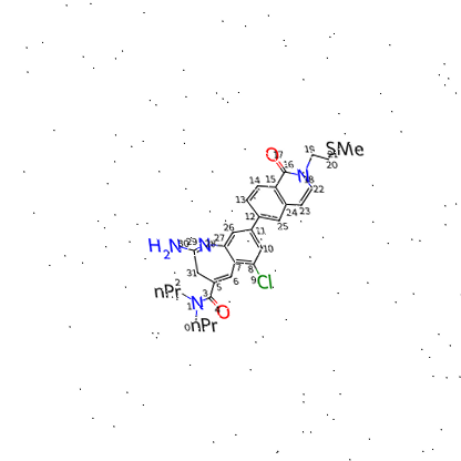 CCCN(CCC)C(=O)C1=Cc2c(Cl)cc(-c3ccc4c(=O)n(CCSC)ccc4c3)cc2N=C(N)C1